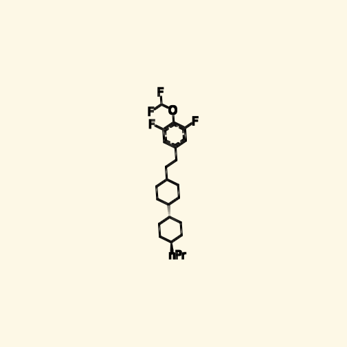 CCC[C@H]1CC[C@H](C2CCC(CCc3cc(F)c(OC(F)F)c(F)c3)CC2)CC1